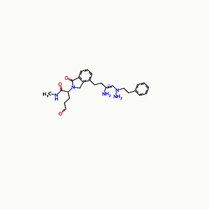 CNC(=O)C(CCC=O)N1Cc2c(CC/C(N)=C/N(N)CCc3ccccc3)cccc2C1=O